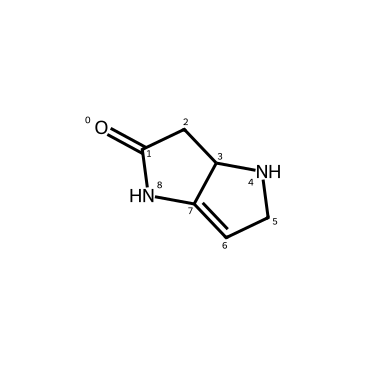 O=C1CC2NCC=C2N1